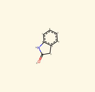 O=C1Cc2ccccc2[N]1